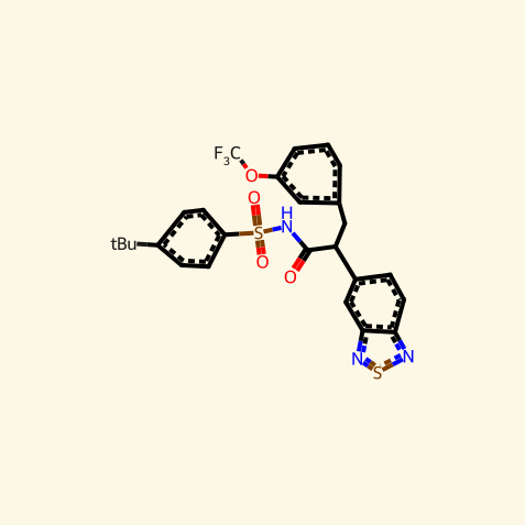 CC(C)(C)c1ccc(S(=O)(=O)NC(=O)C(Cc2cccc(OC(F)(F)F)c2)c2ccc3nsnc3c2)cc1